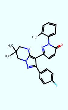 Cc1ccccc1-n1nc(-c2c(-c3ccc(F)cc3)nn3c2NCC(C)(C)C3)ccc1=O